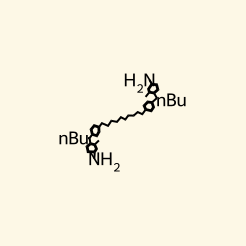 CCCCC(c1ccc(CCCCCCCCCCc2ccc(C(CCCC)c3ccc(N)cc3C)cc2)cc1)c1ccc(N)cc1C